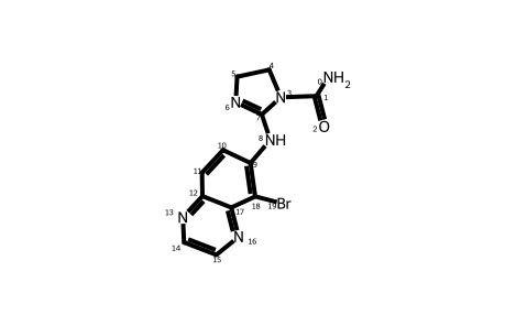 NC(=O)N1CCN=C1Nc1ccc2nccnc2c1Br